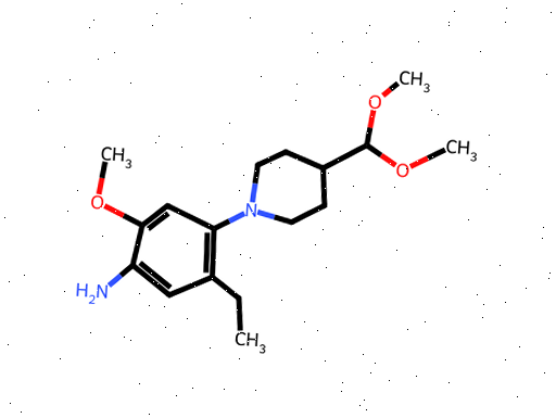 CCc1cc(N)c(OC)cc1N1CCC(C(OC)OC)CC1